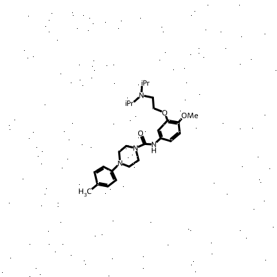 COc1ccc(NC(=O)N2CCN(c3ccc(C)cc3)CC2)cc1OCCN(C(C)C)C(C)C